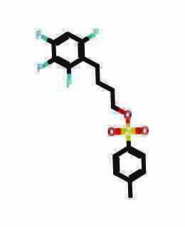 Cc1ccc(S(=O)(=O)OCCCCc2c(F)cc(F)c(F)c2F)cc1